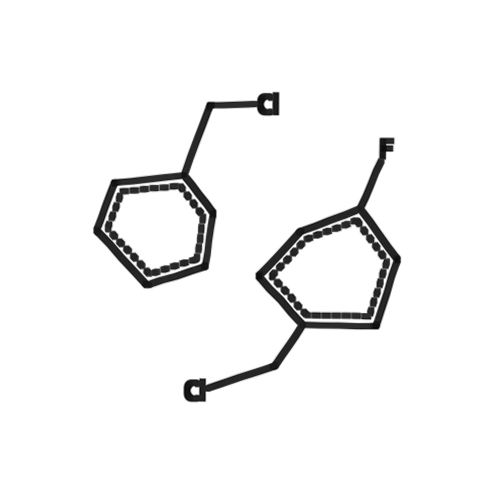 ClCc1ccccc1.Fc1ccc(CCl)cc1